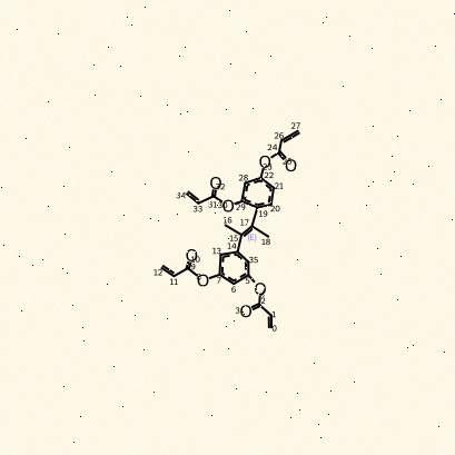 C=CC(=O)Oc1cc(OC(=O)C=C)cc(/C(C)=C(\C)c2ccc(OC(=O)C=C)cc2OC(=O)C=C)c1